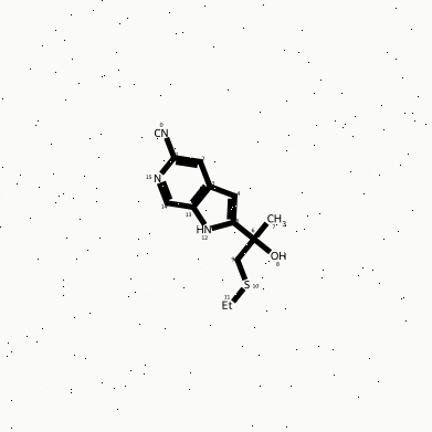 [C-]#[N+]c1cc2cc(C(C)(O)CSCC)[nH]c2cn1